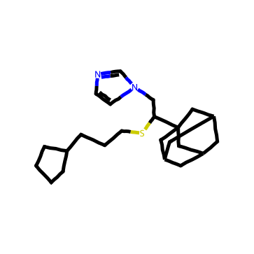 c1cn(CC(SCCCC2CCCC2)C23CC4CC(CC(C4)C2)C3)cn1